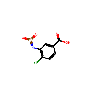 O=C(O)c1ccc(Cl)c(N=S(=O)=O)c1